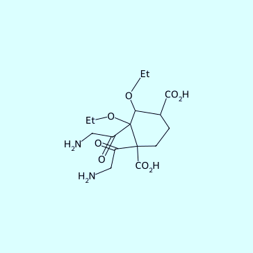 CCOC1C(C(=O)O)CCC(C(=O)O)(C(=O)CN)C1(OCC)C(=O)CN